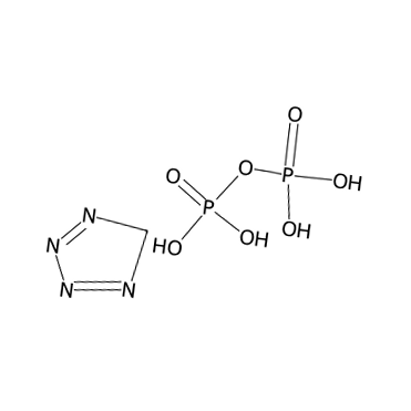 C1N=NN=N1.O=P(O)(O)OP(=O)(O)O